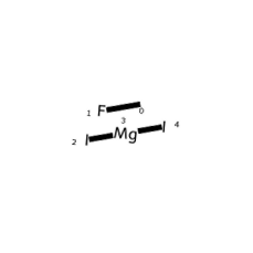 CF.[I][Mg][I]